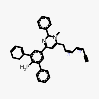 C#C/C=C\C=C/CC1=CC(c2cc(C3=CC=CCC3)c(P)c(-c3ccccc3)c2)=NC(c2ccccc2)N1C